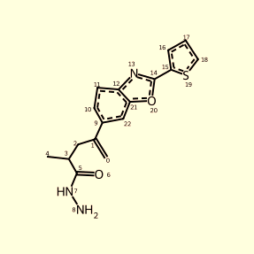 C=C(CC(C)C(=O)NN)c1ccc2nc(-c3cccs3)oc2c1